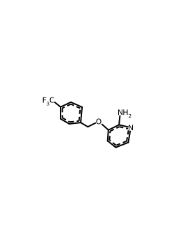 Nc1ncccc1OCc1ccc(C(F)(F)F)cc1